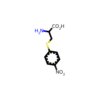 NC(CSc1ccc([N+](=O)[O-])cc1)C(=O)O